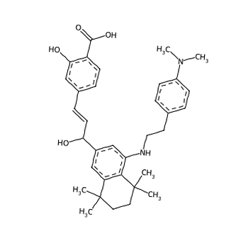 CN(C)c1ccc(CCNc2cc(C(O)C=Cc3ccc(C(=O)O)c(O)c3)cc3c2C(C)(C)CCC3(C)C)cc1